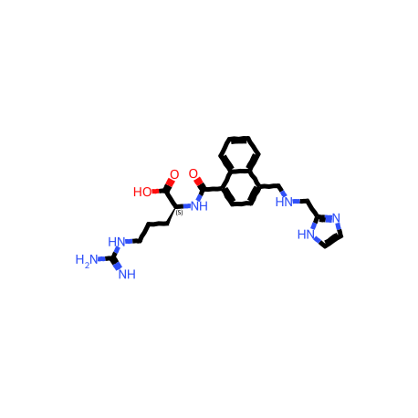 N=C(N)NCCC[C@H](NC(=O)c1ccc(CNCc2ncc[nH]2)c2ccccc12)C(=O)O